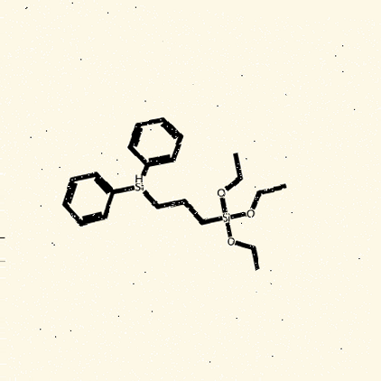 CCO[Si](CCC[SiH](c1ccccc1)c1ccccc1)(OCC)OCC